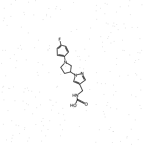 O=C(O)NCc1cnn(C2CCN(c3ccc(F)cc3)C2)c1